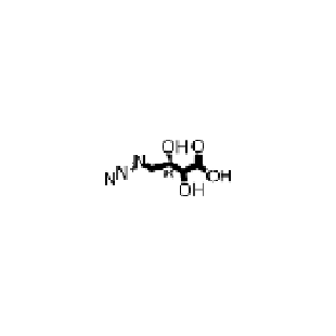 [N-]=[N+]=NC[C@@H](O)C(O)C(=O)O